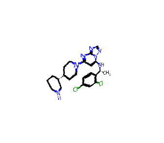 C[C@@H](Nc1cc(N2CCC([C@H]3CCCNC3)CC2)nc2ncnn12)c1ccc(Cl)cc1Cl